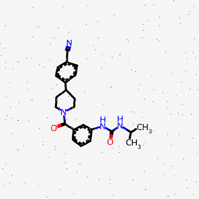 CC(C)NC(=O)Nc1cccc(C(=O)N2CCC(c3ccc(C#N)cc3)CC2)c1